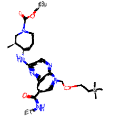 CCNC(=O)c1cn(COCC[Si](C)(C)C)c2ncc(N[C@H]3CCN(C(=O)OC(C)(C)C)C[C@@H]3C)nc12